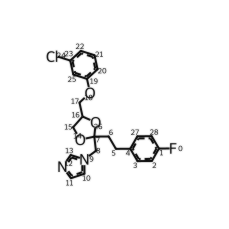 Fc1ccc(CCC2(Cn3ccnc3)OCC(COc3cccc(Cl)c3)O2)cc1